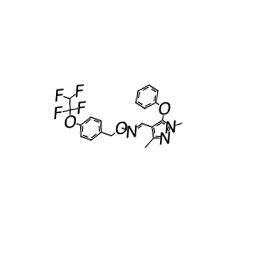 Cc1nn(C)c(Oc2ccccc2)c1C=NOCc1ccc(OC(F)(F)C(F)F)cc1